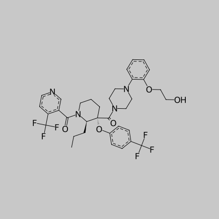 CCC[C@H]1N(C(=O)c2cnccc2C(F)(F)F)CCC[C@@]1(Oc1ccc(C(F)(F)F)cc1)C(=O)N1CCN(c2ccccc2OCCO)CC1